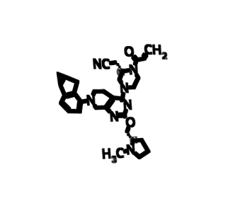 C=CC(=O)N1CCN(c2nc(OC[C@@H]3CCCN3C)nc3c2CCN(c2cccc4c2CC2CC42)C3)C[C@@H]1CC#N